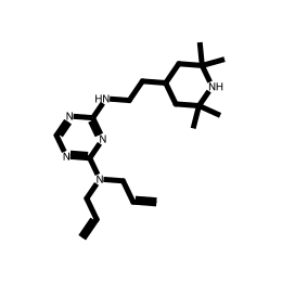 C=CCN(CC=C)c1ncnc(NCCC2CC(C)(C)NC(C)(C)C2)n1